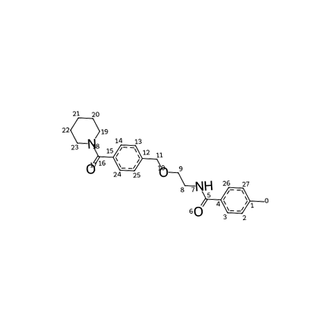 Cc1ccc(C(=O)NCCOCc2ccc(C(=O)N3CCCCC3)cc2)cc1